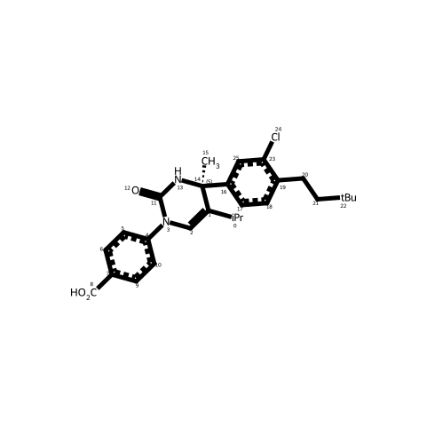 CC(C)C1=CN(c2ccc(C(=O)O)cc2)C(=O)N[C@@]1(C)c1ccc(CCC(C)(C)C)c(Cl)c1